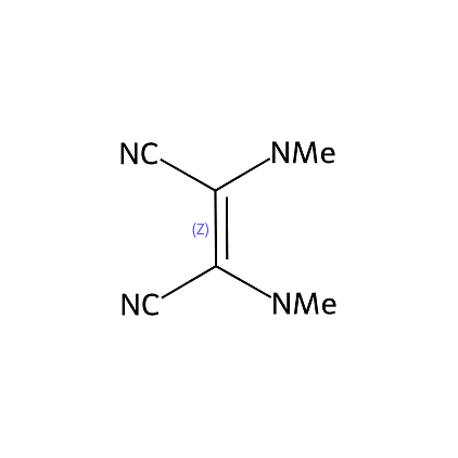 CN/C(C#N)=C(/C#N)NC